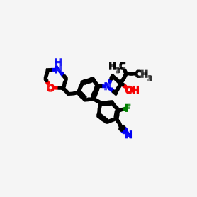 CC(C)C1(O)CN(c2ccc(CC3CNCCO3)cc2-c2ccc(C#N)c(F)c2)C1